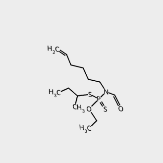 C=CCCCCN(C=O)P(=S)(OCC)SC(C)CC